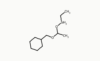 CC[SiH2]OC(C)OCC1CCCCC1